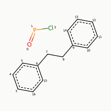 O=PCl.c1ccc(CCc2ccccc2)cc1